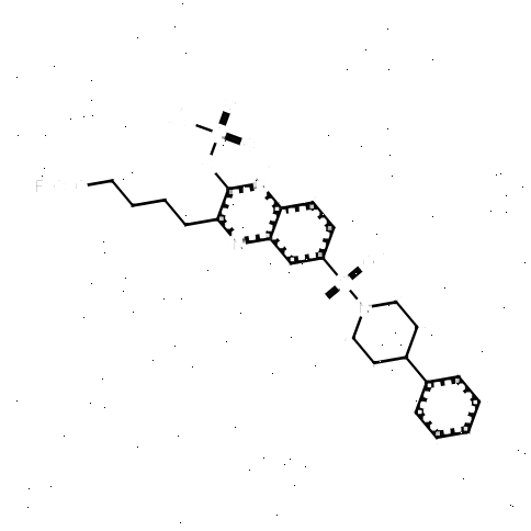 CCOC(=O)CCCCc1nc2cc(S(=O)(=O)N3CCC(c4ccccc4)CC3)ccc2nc1OS(=O)(=O)C(F)(F)F